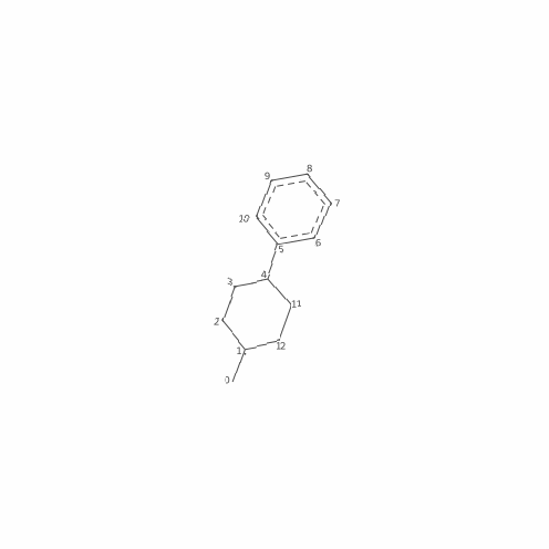 C[C]1CCC(c2ccccc2)CC1